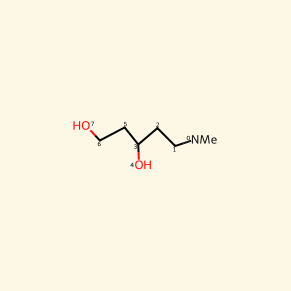 CNCCC(O)CCO